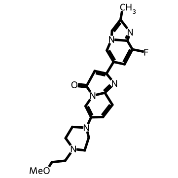 COCCN1CCN(c2ccc3nc(-c4cc(F)c5nc(C)cn5c4)cc(=O)n3c2)CC1